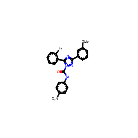 CCc1ccccc1-c1nc(-c2cccc(OC)c2)nn1C(=O)Nc1ccc([N+](=O)[O-])cc1